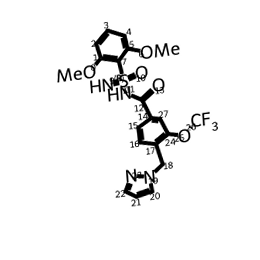 COc1cccc(OC)c1[S@@](=N)(=O)NC(=O)c1ccc(Cn2cccn2)c(OC(F)(F)F)c1